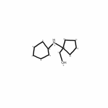 OCC1(NC2CCCCC2)CCCC1